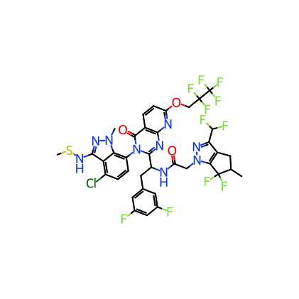 CSNc1nn(C)c2c(-n3c(C(Cc4cc(F)cc(F)c4)NC(=O)Cn4nc(C(F)F)c5c4C(F)(F)C(C)C5)nc4nc(OCC(F)(F)C(F)(F)F)ccc4c3=O)ccc(Cl)c12